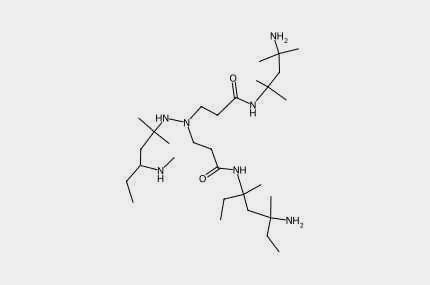 CCC(CC(C)(C)NN(CCC(=O)NC(C)(C)CC(C)(C)N)CCC(=O)NC(C)(CC)CC(C)(N)CC)NC